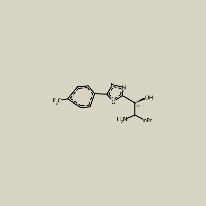 CCCC(N)[C@H](O)c1nnc(-c2ccc(C(F)(F)F)cc2)o1